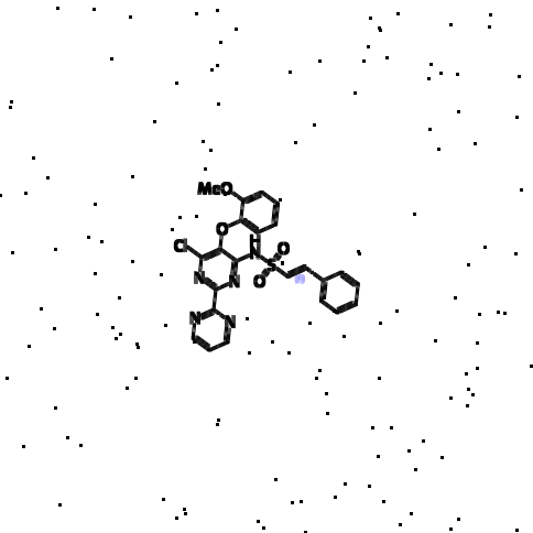 COc1ccccc1Oc1c(Cl)nc(-c2ncccn2)nc1NS(=O)(=O)/C=C/c1ccccc1